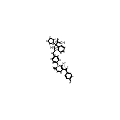 Nc1c(C(=O)c2ccc(F)cc2)ccc(=O)n1-c1ccc(CCN[C@](C(=O)O)(c2ccccc2)C2CCCC2)cc1